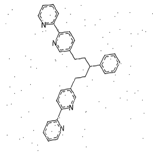 c1ccc(C(CCc2ccc(-c3ccccn3)nc2)CCc2ccc(-c3ccccn3)nc2)cc1